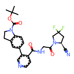 CC(C)(C)OC(=O)N1CCc2cc(-c3cnccc3C(=O)NCC(=O)N3CC(F)(F)C[C@H]3C#N)ccc21